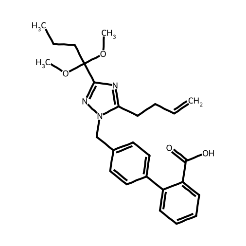 C=CCCc1nc(C(CCC)(OC)OC)nn1Cc1ccc(-c2ccccc2C(=O)O)cc1